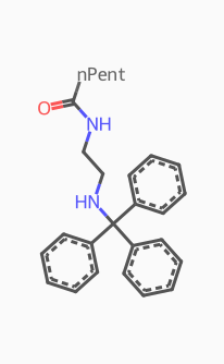 CCCCCC(=O)NCCNC(c1ccccc1)(c1ccccc1)c1ccccc1